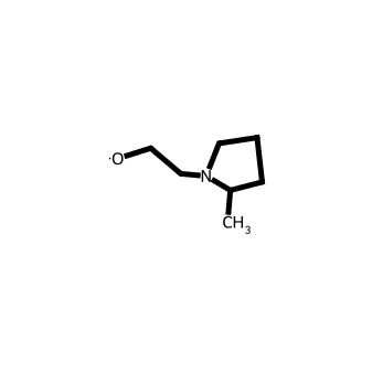 CC1CCCN1CC[O]